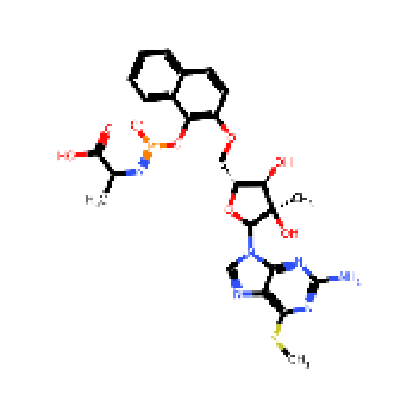 CSc1nc(N)nc2c1ncn2C1O[C@H](COc2ccc3ccccc3c2O/[P+]([O-])=N/C(C)C(=O)O)[C@@H](O)[C@@]1(C)O